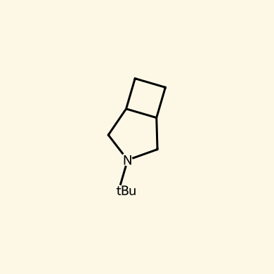 CC(C)(C)N1CC2CCC2C1